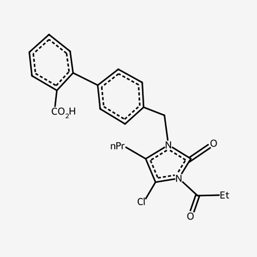 CCCc1c(Cl)n(C(=O)CC)c(=O)n1Cc1ccc(-c2ccccc2C(=O)O)cc1